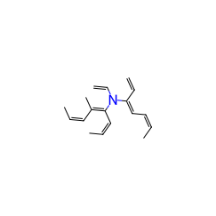 C=C/C(=C\C=C/C)N(C=C)C(/C=C\C)=C(C)/C=C\C